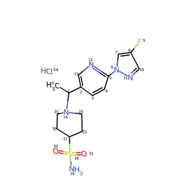 CC(c1ccc(-n2cc(F)cn2)nc1)N1CCC(S(N)(=O)=O)CC1.Cl